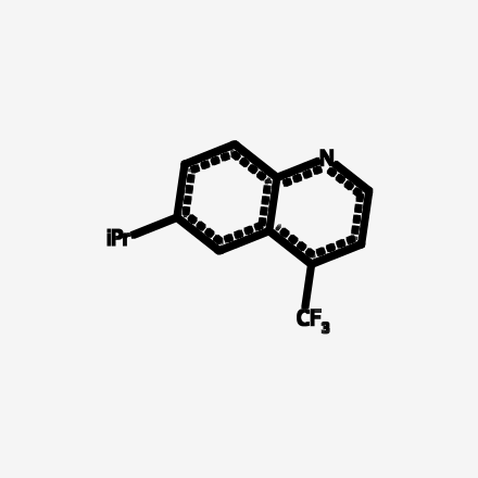 CC(C)c1ccc2nccc(C(F)(F)F)c2c1